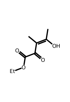 CCOC(=O)C(=O)/C(C)=C(/C)O